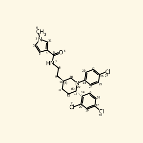 Cn1ccc(C(=O)NCC[C@@H]2CC[C@@H](c3ccc(Cl)cc3Cl)N(c3ccc(Cl)cc3)C2)c1